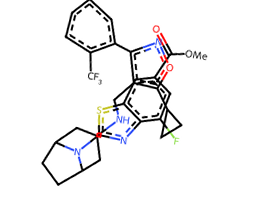 COC(=O)c1cc(F)c2nc(N3C4CCC3CC(NCc3c(-c5ccccc5C(F)(F)F)noc3C3CC3)C4)sc2c1